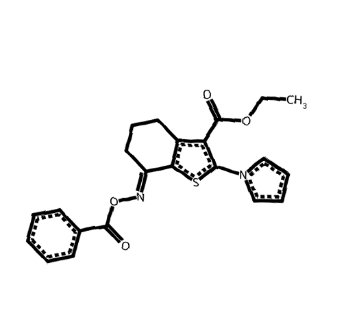 CCOC(=O)c1c(-n2cccc2)sc2c1CCCC2=NOC(=O)c1ccccc1